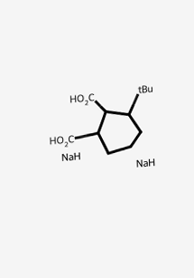 CC(C)(C)C1CCCC(C(=O)O)C1C(=O)O.[NaH].[NaH]